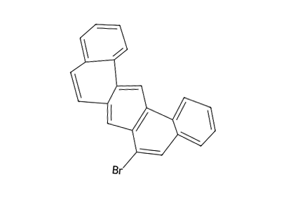 Brc1cc2ccccc2c2cc3c(ccc4ccccc43)cc12